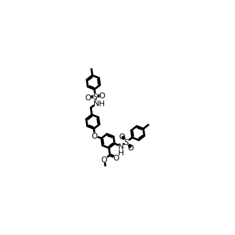 COC(=O)c1cc(Oc2ccc(CNS(=O)(=O)c3ccc(C)cc3)cc2)ccc1NS(=O)(=O)c1ccc(C)cc1